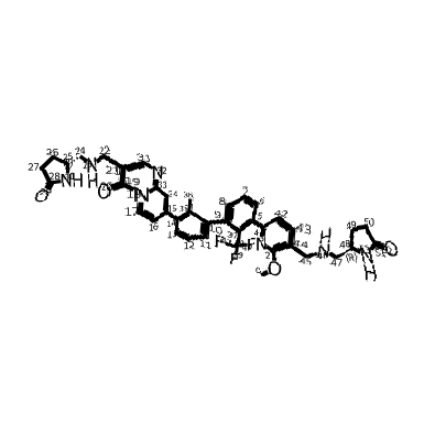 COc1nc(-c2cccc(-c3cccc(-c4ccn5c(=O)c(CNC[C@H]6CCC(=O)N6)cnc5c4)c3C)c2C(F)(F)F)ccc1CNC[C@H]1CCC(=O)N1